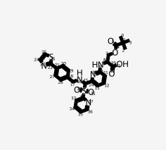 CC(C)(C)C(=O)OCC(Nc1cccc(C(NCc2ccc(-c3nccs3)cc2)S(=O)(=O)c2ccccn2)n1)C(=O)O